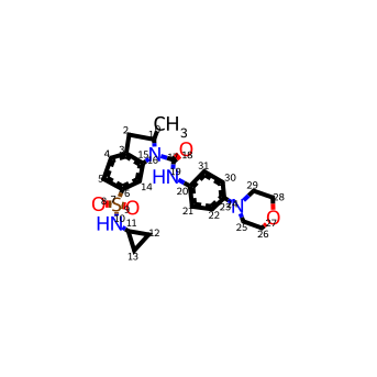 CC1Cc2ccc(S(=O)(=O)NC3CC3)cc2N1C(=O)Nc1ccc(N2CCOCC2)cc1